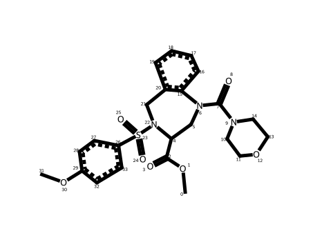 COC(=O)C1CN(C(=O)N2CCOCC2)c2ccccc2CN1S(=O)(=O)c1ccc(OC)cc1